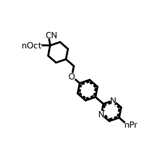 CCCCCCCCC1(C#N)CCC(COc2ccc(-c3ncc(CCC)cn3)cc2)CC1